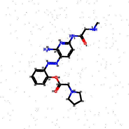 CNCC(=O)Nc1ccc(/N=N/c2ccccc2OC(=O)CN2CCCC2)c(N)n1